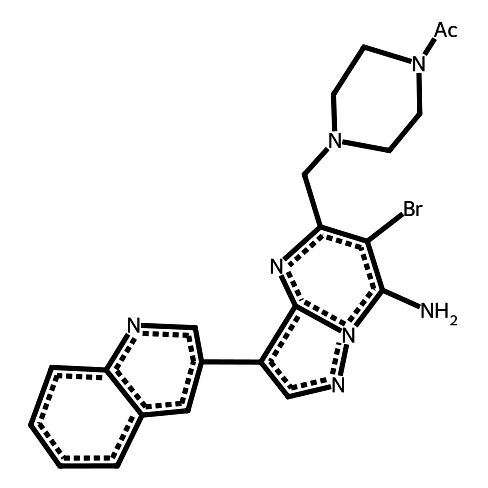 CC(=O)N1CCN(Cc2nc3c(-c4cnc5ccccc5c4)cnn3c(N)c2Br)CC1